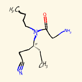 CCCN(C(=O)CN)[C@H](CC)CC#N